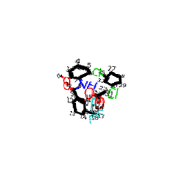 COc1ccccc1NC(=O)c1cccc(C(F)(F)F)c1OC(C)=O.Clc1cccc(Cl)c1